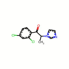 CC(C(=O)c1ccc(Cl)cc1Cl)n1ccnc1